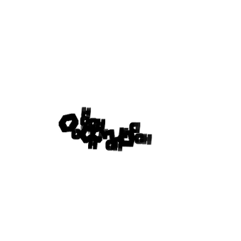 Oc1ccc([C@H](O)CN2C[C@H]3C[C@H](Oc4ccccc4)[C@H](O)[C@@]3(O)C2)nc1Cl